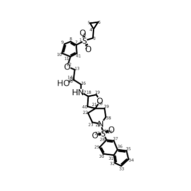 O=S(=O)(CC1CC1)c1cccc(OC[C@@H](O)CNC2COC3(CCN(S(=O)(=O)c4ccc5ccccc5c4)CC3)C2)c1